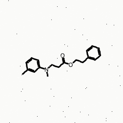 Cc1cccc(N(C)CCC(=O)OCCc2ccccc2)c1